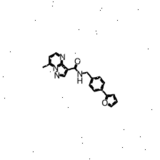 Cc1ccnc2c(C(=O)NCc3ccc(-c4ccco4)cc3)cnn12